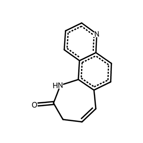 O=C1CC=Cc2ccc3ncccc3c2N1